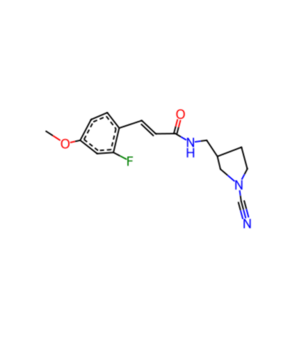 COc1ccc(/C=C/C(=O)NCC2CCN(C#N)C2)c(F)c1